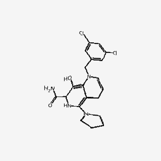 NC(=O)C1NC(N2CCCC2)=C2CC=CN(Cc3cc(Cl)cc(Cl)c3)C2=C1O